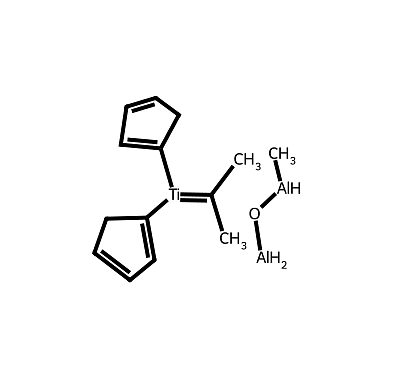 C[C](C)=[Ti]([C]1=CC=CC1)[C]1=CC=CC1.[CH3][AlH][O][AlH2]